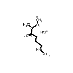 CNCCCC(=O)N(C)OC.Cl